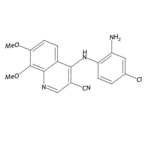 COc1ccc2c(Nc3ccc(Cl)cc3N)c(C#N)cnc2c1OC